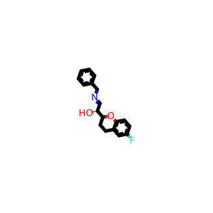 O[C@H](C=NCc1ccccc1)C1CCc2cc(F)ccc2O1